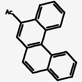 CC(=O)c1cc2ccc3ccccc3c2c2ccccc12